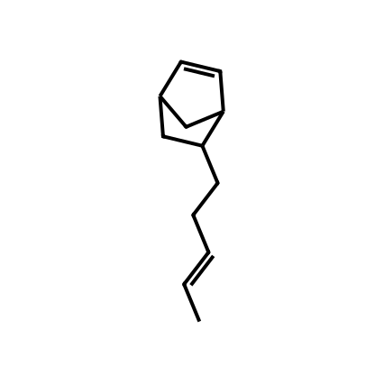 CC=CCCC1CC2C=CC1C2